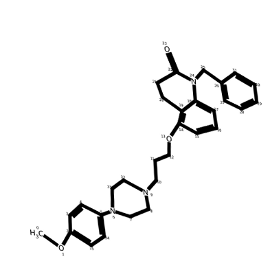 COc1ccc(N2CCN(CCCOc3cccc4c3CCC(=O)N4Cc3ccccc3)CC2)cc1